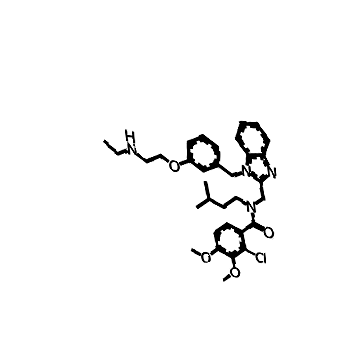 CCNCCOc1cccc(Cn2c(CN(CCC(C)C)C(=O)c3ccc(OC)c(OC)c3Cl)nc3ccccc32)c1